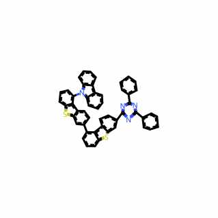 c1ccc(-c2nc(-c3ccccc3)nc(-c3ccc4c(c3)sc3cccc(-c5ccc6c(c5)sc5cccc(-n7c8ccccc8c8ccccc87)c56)c34)n2)cc1